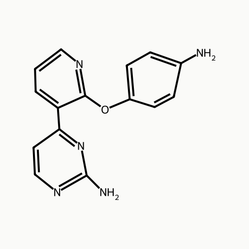 Nc1ccc(Oc2ncccc2-c2ccnc(N)n2)cc1